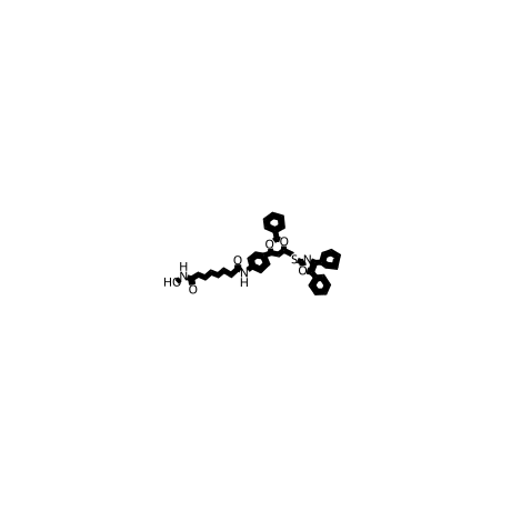 O=C(CCCCCCC(=O)Nc1ccc(C2CC(CSc3nc(-c4ccccc4)c(-c4ccccc4)o3)OC(c3ccccc3)O2)cc1)NO